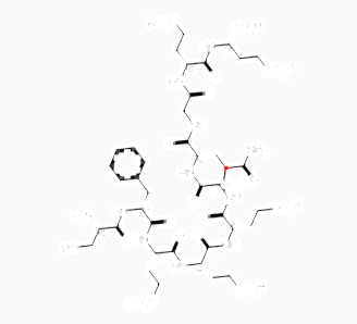 NC(=O)C[C@H](NC(=O)[C@H](CCC(=O)O)NC(=O)[C@H](CCC(=O)O)NC(=O)[C@H](CCC(=O)O)NC(=O)[C@H](Cc1ccccc1)NC(=O)[C@@H](N)CO)C(=O)N[C@@H](CCC(=O)O)C(=O)NCC(=O)N[C@@H](CCC(=O)O)C(=O)N[C@@H](CCC(=O)O)C(=O)O